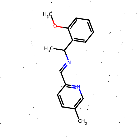 COc1ccccc1C(C)N=Cc1ccc(C)cn1